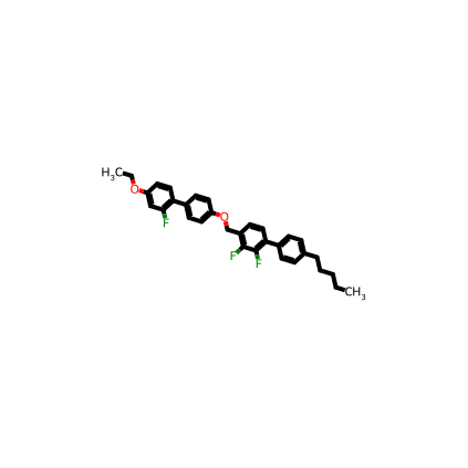 CCCCCc1ccc(-c2ccc(COc3ccc(-c4ccc(OCC)cc4F)cc3)c(F)c2F)cc1